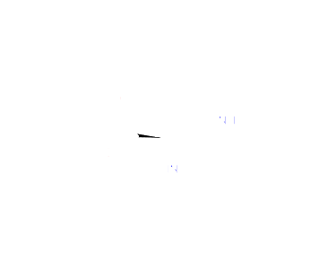 COC(=O)[C@H]1CNCCN1